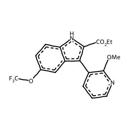 CCOC(=O)c1[nH]c2ccc(OC(F)(F)F)cc2c1-c1cccnc1OC